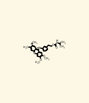 COc1cc2c(Nc3cccc(CCOC(=O)NC(C)C)c3)c3cc(OC)c(OC)cc3nc2cc1C